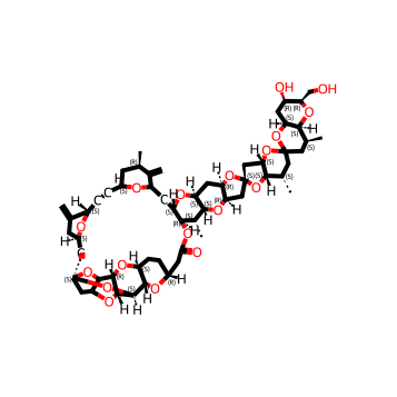 C=C1C2C[C@@H]3O[C@H]4C[C@H]5O[C@@]6(C[C@@H]7OC8(C[C@H](C)[C@@H]9O[C@H](CO)[C@H](O)C[C@@H]9O8)C[C@H](C)[C@@H]7O6)C[C@H]5O[C@H]4[C@H](C)[C@H]3OC(=O)C[C@H]3CC[C@@H]4O[C@H]5C6O[C@]7(CC[C@H]8CC(=C)[C@H](CC[C@@H](C[C@H]1C)O2)O8)CC6O[C@H]5[C@@H](O7)[C@H]4O3